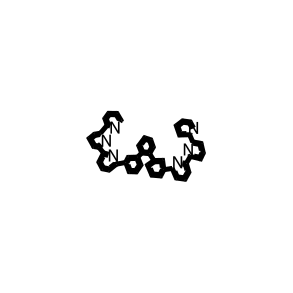 c1ccc(-c2cccc(-c3cccc(-c4cccc(-c5ccccc5-c5cccc(-c6cccc(-c7cccc(-c8ccccn8)n7)n6)c5)c4)n3)n2)nc1